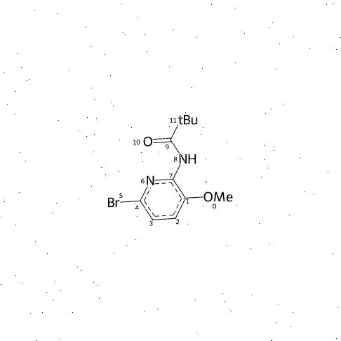 COc1ccc(Br)nc1NC(=O)C(C)(C)C